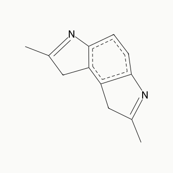 CC1=Nc2ccc3c(c2C1)CC(C)=N3